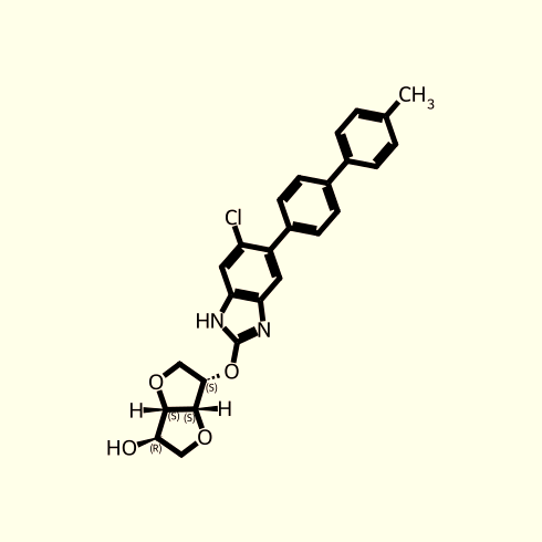 Cc1ccc(-c2ccc(-c3cc4nc(O[C@H]5CO[C@@H]6[C@H]5OC[C@H]6O)[nH]c4cc3Cl)cc2)cc1